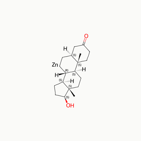 C[C@]12CCC(=O)C[C@@H]1CC[C@@H]1[C@@H]2CC[C@]2(C)[C@@H](O)CC[C@@H]12.[Zn]